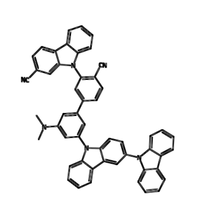 CN(C)c1cc(-c2ccc(C#N)c(-n3c4ccccc4c4ccc(C#N)cc43)c2)cc(-n2c3ccccc3c3cc(-n4c5ccccc5c5ccccc54)ccc32)c1